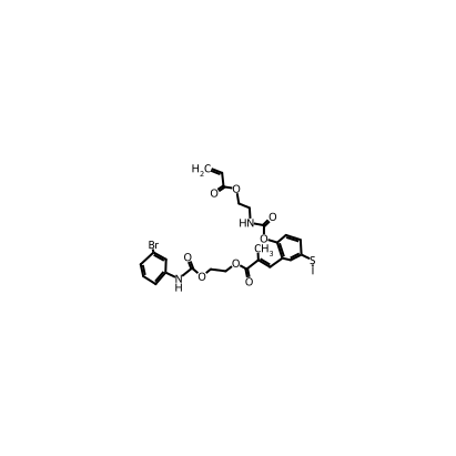 C=CC(=O)OCCNC(=O)Oc1ccc(SI)cc1C=C(C)C(=O)OCCOC(=O)Nc1cccc(Br)c1